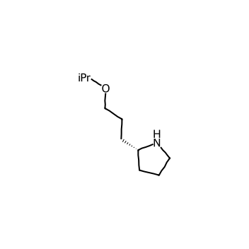 CC(C)OCCC[C@H]1CCCN1